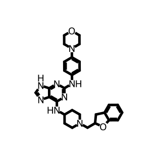 c1ccc2c(c1)CC(CN1CCC(Nc3nc(Nc4ccc(N5CCOCC5)cc4)nc4[nH]cnc34)CC1)O2